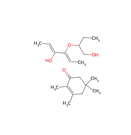 CC1=C(C)C(=O)CC(C)(C)C1.CC=C(O)C(=CC)OC(CC)CO